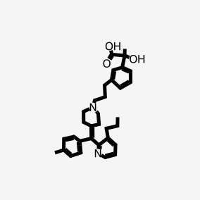 CCCc1cccnc1C(=C1CCN(CCCc2cccc(C(C)(O)C(=O)O)c2)CC1)c1ccc(C)cc1